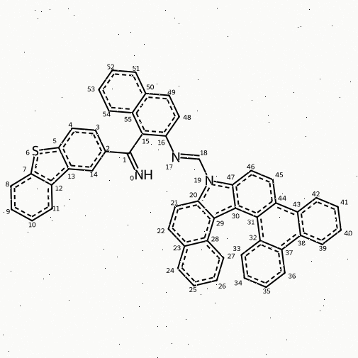 N=C(c1ccc2sc3ccccc3c2c1)c1c(/N=C/n2c3ccc4ccccc4c3c3c4c5ccccc5c5ccccc5c4ccc32)ccc2ccccc12